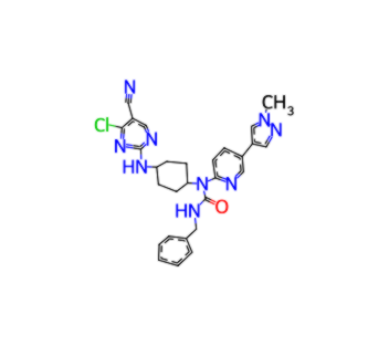 Cn1cc(-c2ccc(N(C(=O)NCc3ccccc3)C3CCC(Nc4ncc(C#N)c(Cl)n4)CC3)nc2)cn1